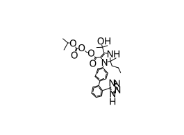 CCCC1(C)NC(C(C)(C)O)=C(C(=O)OCOC(=O)OC(C)C)N1c1ccc(-c2ccccc2-c2nnn[nH]2)cc1